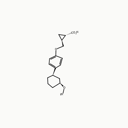 CC(C)O[C@H]1CCC[C@@H](c2ccc(OC[C@H]3C[C@@H]3C(=O)O)cc2)C1